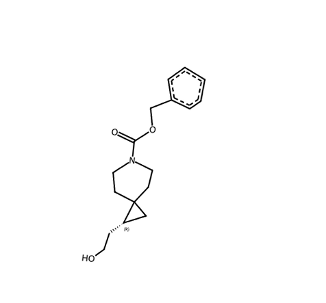 O=C(OCc1ccccc1)N1CCC2(CC1)C[C@@H]2CCO